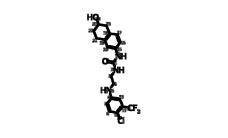 O=C(NCCNc1ccc(Cl)c(C(F)(F)F)c1)Nc1ccc2c(c1)CCC(O)C2